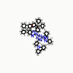 c1ccc([Si](c2ccccc2)(c2ccccc2)c2ccc3nc4n(-c5nc(-c6cccc(-n7c8ccccc8c8ccccc87)c6)nc(-n6c7ccccc7n7c8ccccc8nc67)n5)c5ccc([Si](c6ccccc6)(c6ccccc6)c6ccccc6)cc5n4c3c2)cc1